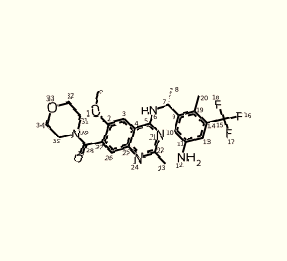 COc1cc2c(N[C@H](C)c3cc(N)cc(C(F)(F)F)c3C)nc(C)nc2cc1C(=O)N1CCOCC1